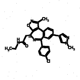 CCNC(=O)C[C@@H]1N=C(c2ccc(Cl)cc2)c2cc(-c3cnn(C)c3)ccc2-c2c(C)noc21